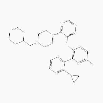 Fc1ccc(Oc2cncnc2N2CCN(CC3CCOCC3)CC2)c(-c2cccnc2C2CC2)c1